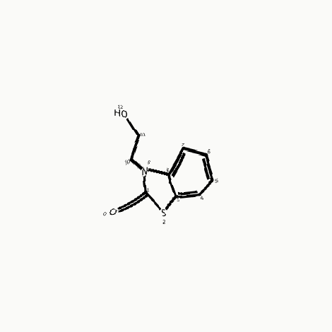 O=c1sc2ccccc2n1CCO